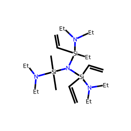 C=C[Si](C=C)(N(CC)CC)N([Si](C)(C)N(CC)CC)[Si](C=C)(CC)N(CC)CC